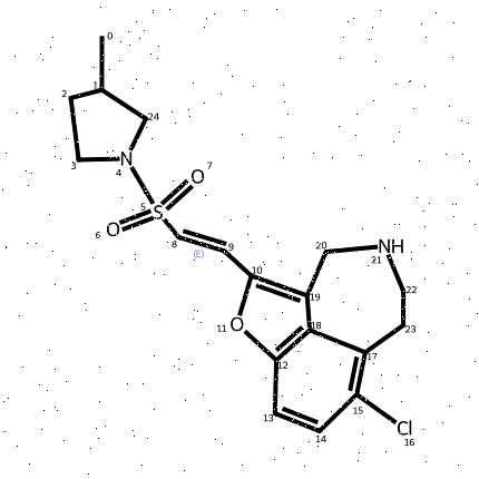 CC1CCN(S(=O)(=O)/C=C/c2oc3ccc(Cl)c4c3c2CNCC4)C1